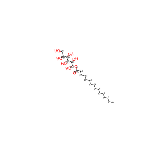 CCCCCCCCCCCCCCCC(=O)OC(O)[C@@H](O)[C@@H](O)[C@H](O)[C@H](O)CO